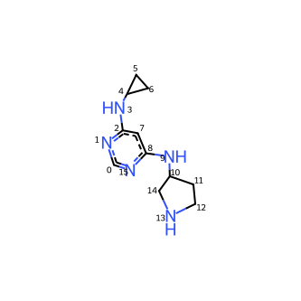 c1nc(NC2CC2)cc(NC2CCNC2)n1